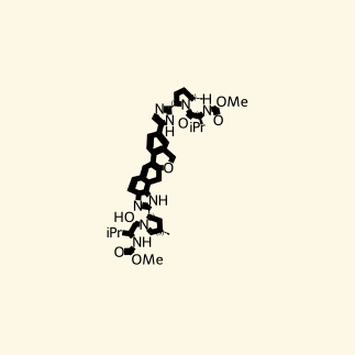 COC(=O)NC(C(C)C)C(O)N1C[C@@H](C)C[C@H]1C1=NC2C=CC3=CC4=C(CC3C2N1)OCc1cc(-c2cnc([C@@H]3CC[C@H](C)N3C(=O)[C@@H](NC(=O)OC)C(C)C)[nH]2)ccc14